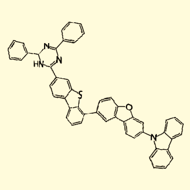 c1ccc(C2=NC(c3ccccc3)NC(c3ccc4c(c3)sc3c(-c5ccc6oc7cc(-n8c9ccccc9c9ccccc98)ccc7c6c5)cccc34)=N2)cc1